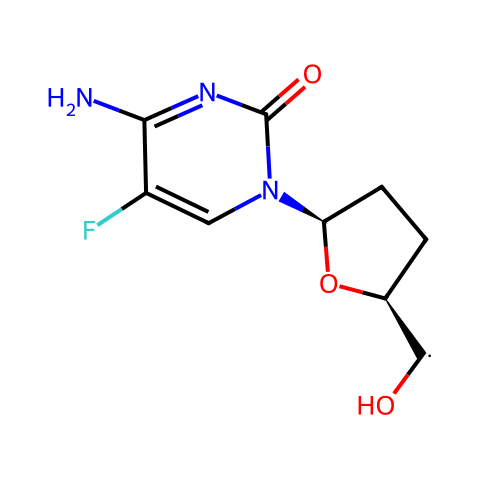 Nc1nc(=O)n([C@H]2CC[C@@H]([CH]O)O2)cc1F